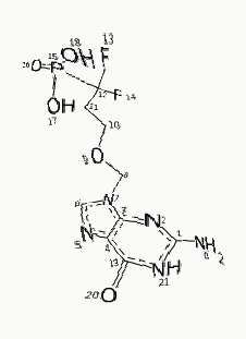 Nc1nc2c(ncn2COCCC(F)(F)P(=O)(O)O)c(=O)[nH]1